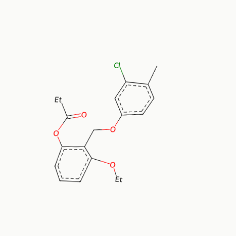 CCOc1cccc(OC(=O)CC)c1COc1ccc(C)c(Cl)c1